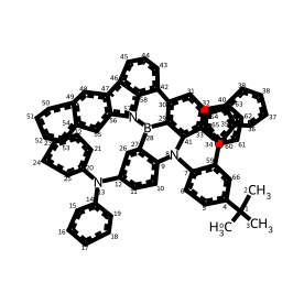 CC(C)(C)c1ccc(N2c3ccc(N(c4ccccc4)c4ccccc4)cc3B3c4c(cc5c(oc6ccccc65)c42)-c2cccc4c5cc6ccccc6cc5n3c24)c(-c2ccccc2)c1